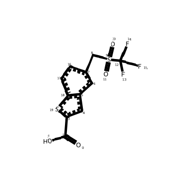 O=C(O)c1cc2cc(CS(=O)(=O)C(F)(F)F)ccc2s1